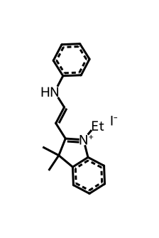 CC[N+]1=C(C=CNc2ccccc2)C(C)(C)c2ccccc21.[I-]